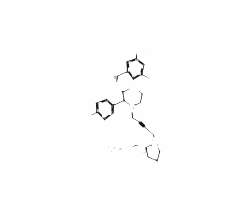 COC[C@@H]1CCCN1CC#CCN1CCOC(O[C@H](C)c2cc(C(F)(F)F)cc(C(F)(F)F)c2)C1c1ccc(F)cc1